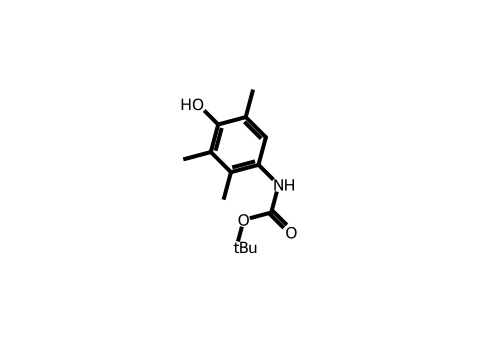 Cc1cc(NC(=O)OC(C)(C)C)c(C)c(C)c1O